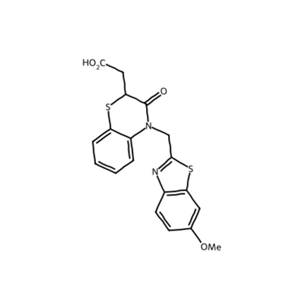 COc1ccc2nc(CN3C(=O)C(CC(=O)O)Sc4ccccc43)sc2c1